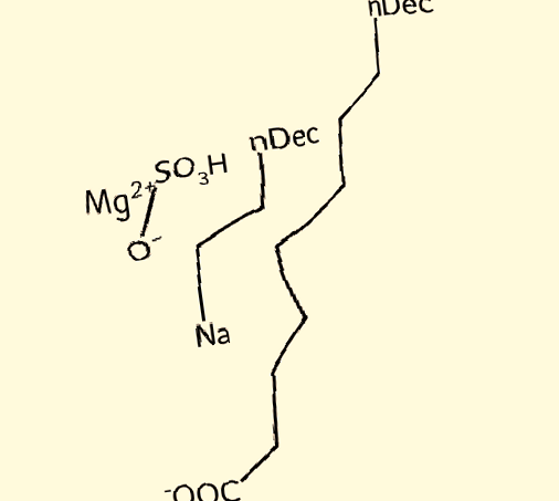 CCCCCCCCCCCCCCCCCC(=O)[O-].CCCCCCCCCCC[CH2][Na].O=S(=O)([O-])O.[Mg+2]